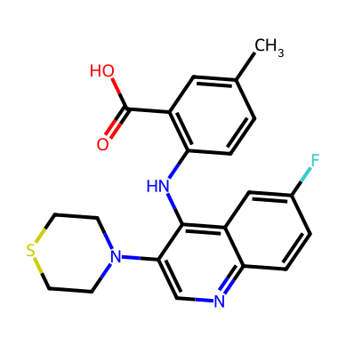 Cc1ccc(Nc2c(N3CCSCC3)cnc3ccc(F)cc23)c(C(=O)O)c1